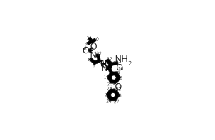 CC(C)(C)OC(=O)N1CC[C@@H](n2cc(C(N)=O)c(-c3ccc(Oc4ccccc4)cc3)n2)C1